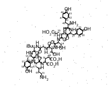 CC[C@H](C)[C@H](NC(=O)CNC(=O)[C@@H](NC(=O)[C@H](CS)NC(=O)[C@H](CCC(=O)O)NC(=O)[C@H](Cc1ccc(O)cc1)NC(=O)[C@@H](N)Cc1ccc(O)cc1)[C@@H](C)O)C(=O)N[C@@H](Cc1ccc(O)cc1)C(=O)N[C@@H](CCCCN)C(=O)N[C@@H](CCC(=O)O)C(=O)O